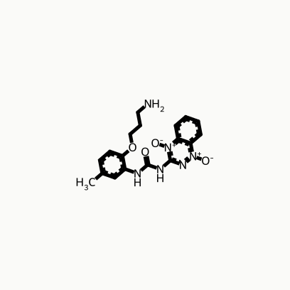 Cc1ccc(OCCCN)c(NC(=O)Nc2n[n+]([O-])c3ccccc3[n+]2[O-])c1